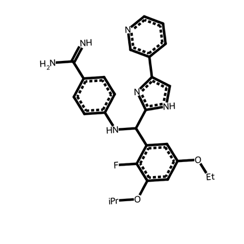 CCOc1cc(OC(C)C)c(F)c(C(Nc2ccc(C(=N)N)cc2)c2nc(-c3cccnc3)c[nH]2)c1